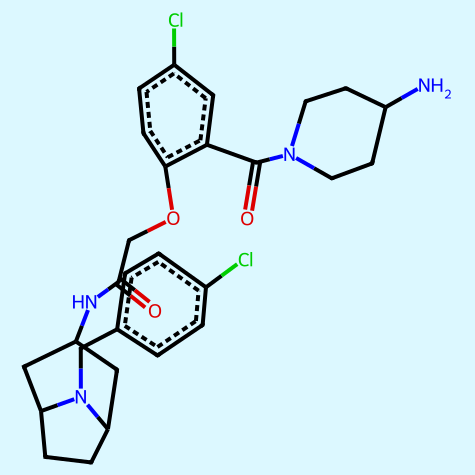 NC1CCN(C(=O)c2cc(Cl)ccc2OCC(=O)NC2CC3CCC(C2)N3Cc2ccc(Cl)cc2)CC1